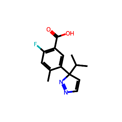 Cc1cc(F)c(C(=O)O)cc1C1(C(C)C)C=CN=N1